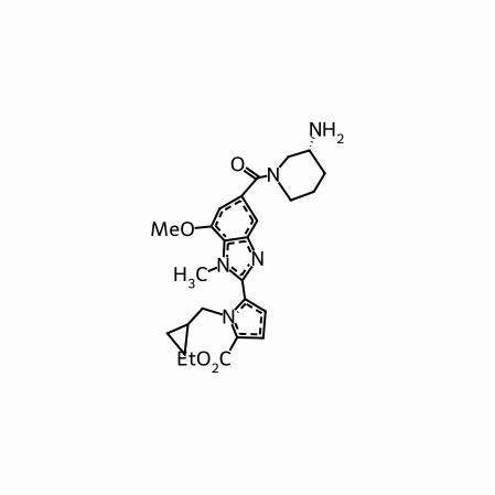 CCOC(=O)c1ccc(-c2nc3cc(C(=O)N4CCC[C@@H](N)C4)cc(OC)c3n2C)n1CC1CC1